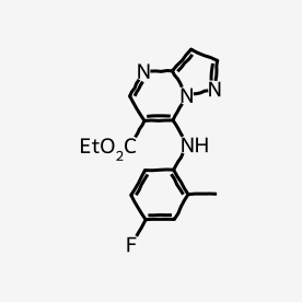 CCOC(=O)c1cnc2ccnn2c1Nc1ccc(F)cc1C